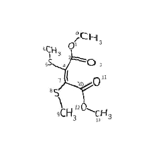 COC(=O)/C(SC)=C(/SC)C(=O)OC